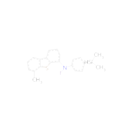 Cc1cccc2c1sc1c(N(I)c3ccc([SiH](C)C)cc3)cccc12